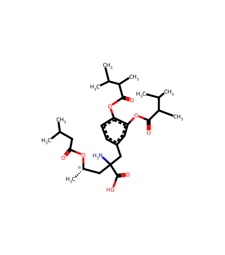 CC(C)CC(=O)O[C@@H](C)CC(N)(Cc1ccc(OC(=O)C(C)C(C)C)c(OC(=O)C(C)C(C)C)c1)C(=O)O